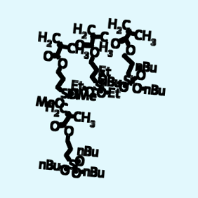 C=C(C)C(=O)OCCC[SiH](OC)OC.C=C(C)C(=O)OCCC[Si](OCC)(OCC)OCC.C=C(C)C(=O)OCCC[Si](OCCCC)(OCCCC)OCCCC.C=C(C)C(=O)OCCC[Si](OCCCC)(OCCCC)OCCCC